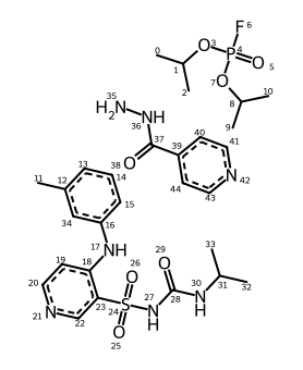 CC(C)OP(=O)(F)OC(C)C.Cc1cccc(Nc2ccncc2S(=O)(=O)NC(=O)NC(C)C)c1.NNC(=O)c1ccncc1